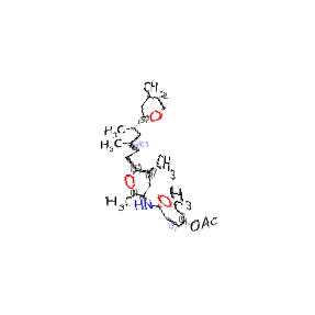 C=C1CCO[C@H](C(C)C/C(C)=C/C[C@@H]2O[C@H](C)[C@H](NC(=O)/C=C\[C@H](C)OC(C)=O)C[C@@H]2C)C1